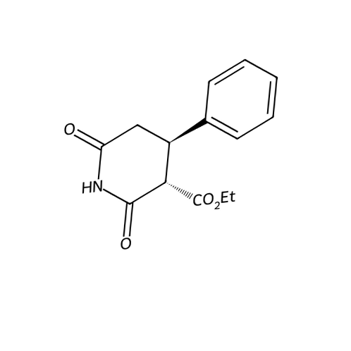 CCOC(=O)[C@@H]1C(=O)NC(=O)C[C@H]1c1ccccc1